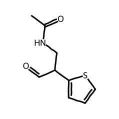 CC(=O)NCC(C=O)c1cccs1